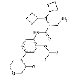 NC[C@@H](C(=O)Nc1ccc(N2CCOCC2=O)cc1OC(F)F)N(C1CCC1)C1CCC1